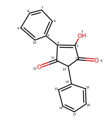 O=C1C(O)=C(c2ccccc2)C(=O)C1c1ccccc1